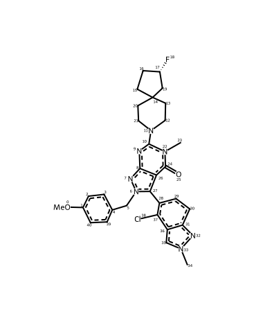 COc1ccc(Cn2nc3nc(N4CCC5(CC[C@H](F)C5)CC4)n(C)c(=O)c3c2-c2ccc3nn(C)cc3c2Cl)cc1